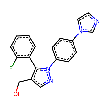 OCc1cnn(-c2ccc(-n3ccnc3)cc2)c1-c1ccccc1F